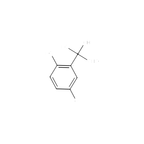 CC(C)(C=O)c1cc(O)ccc1O